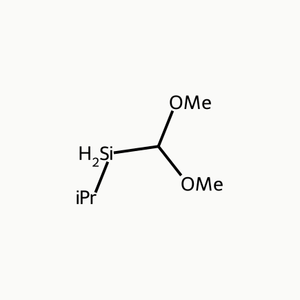 [CH2]C(C)[SiH2]C(OC)OC